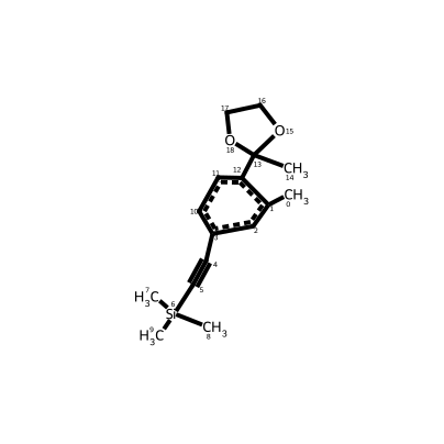 Cc1cc(C#C[Si](C)(C)C)ccc1C1(C)OCCO1